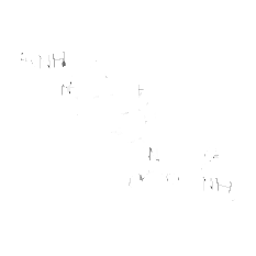 CC(=O)Nc1ccc(-c2ccc(N3C[C@H](C(N)=O)OC3=O)cc2F)cn1